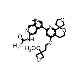 COC1(CCOc2cc(-c3c[nH]c4cnc(NC(C)=O)cc34)nc3c2CCOC32CCOC2)COC1